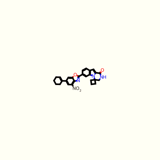 O=C1NCC2(CCC2)n2c1cc1ccc(-c3nc4c([N+](=O)[O-])cc(C5=CCCCC5)cc4o3)cc12